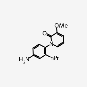 CCCc1cc(N)ccc1-n1cccc(OC)c1=O